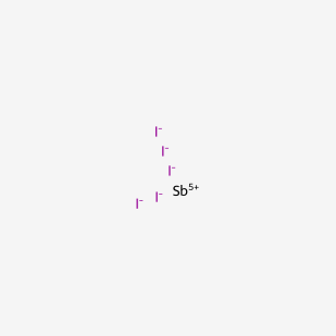 [I-].[I-].[I-].[I-].[I-].[Sb+5]